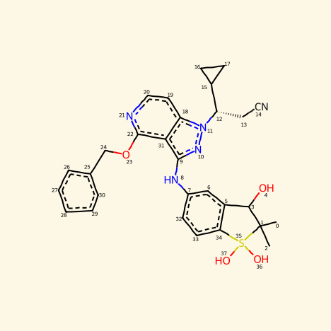 CC1(C)C(O)c2cc(Nc3nn([C@@H](CC#N)C4CC4)c4ccnc(OCc5ccccc5)c34)ccc2S1(O)O